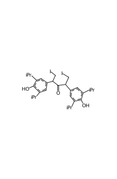 CC(C)c1cc(C(CI)C(=O)C(CI)c2cc(C(C)C)c(O)c(C(C)C)c2)cc(C(C)C)c1O